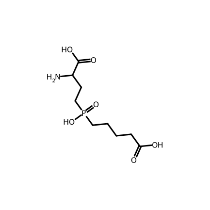 NC(CCP(=O)(O)CCCCC(=O)O)C(=O)O